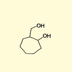 OCC1CCCCCC1O